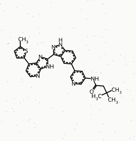 Cc1ccc(-c2ccnc3[nH]c(-c4n[nH]c5ccc(-c6cncc(NC(=O)CC(C)(C)C)c6)cc45)nc23)s1